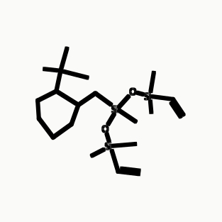 C=C[Si](C)(C)O[Si](C)(CC1CCCCC1C(C)(C)C)O[Si](C)(C)C=C